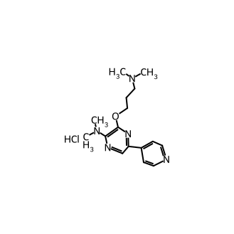 CN(C)CCCOc1nc(-c2ccncc2)cnc1N(C)C.Cl